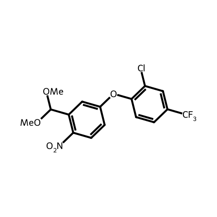 COC(OC)c1cc(Oc2ccc(C(F)(F)F)cc2Cl)ccc1[N+](=O)[O-]